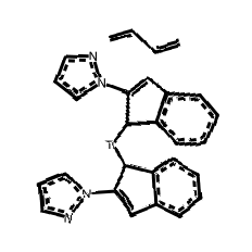 C1=C(n2cccn2)[CH]([Ti][CH]2C(n3cccn3)=Cc3ccccc32)c2ccccc21.C=CC=C